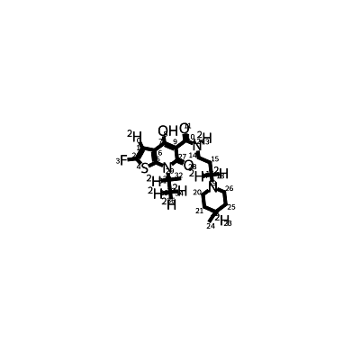 [2H]c1c(F)sc2c1c(O)c(C(=O)N([2H])CCC([2H])([2H])N1CCC([2H])(C)CC1)c(=O)n2C([2H])(C)C([2H])([2H])[2H]